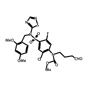 COc1ccc(CN(c2ncns2)S(=O)(=O)c2cc(Cl)c(N(CCCC=O)C(=O)OC(C)(C)C)cc2F)c(OC)c1